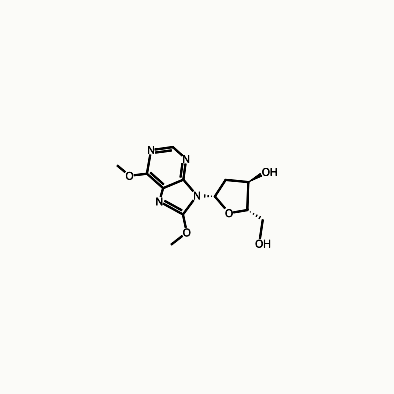 COc1ncnc2c1nc(OC)n2[C@@H]1C[C@@H](O)[C@H](CO)O1